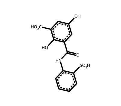 O=C(O)c1cc(O)cc(C(=O)Nc2ccccc2S(=O)(=O)O)c1O